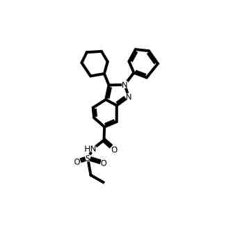 CCS(=O)(=O)NC(=O)c1ccc2c(C3CCCCC3)n(-c3ccccc3)nc2c1